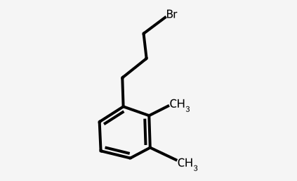 Cc1cccc(CCCBr)c1C